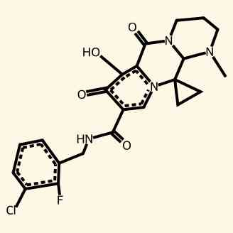 CN1CCCN2C(=O)c3c(O)c(=O)c(C(=O)NCc4cccc(Cl)c4F)cn3C3(CC3)C12